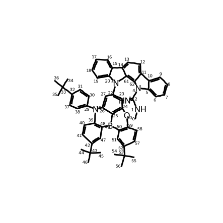 CNC(=N)n1c2ccccc2c2ccc3c4ccccc4n(-c4cc5c6c(c4)N(c4ccc(C(C)(C)C)cc4)c4ccc(C(C)(C)C)cc4B6c4cc(C(C)(C)C)ccc4O5)c3c21